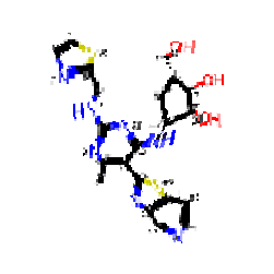 Cc1nc(NCc2nccs2)nc(N[C@@H]2C[C@H](CO)[C@@H](O)[C@H]2O)c1-c1nc2cnccc2s1